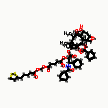 CC(=O)O[C@@]12COC1C[C@H](O)[C@@]1(C)C(=O)[C@H](C)C3=C(C)[C@@H](OC(=O)[C@H](OC(=O)CCCC(=O)OCOC(=O)CCCCC4CCSS4)[C@@H](NC(=O)c4ccccc4)c4ccccc4)C[C@@](O)([C@@H](OC(=O)c4ccccc4)[C@@H]12)C3(C)C